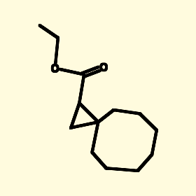 CCOC(=O)C1CC12CCCCCCC2